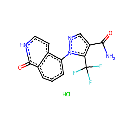 Cl.NC(=O)c1cnn(-c2cccc3c(=O)[nH]ccc23)c1C(F)(F)F